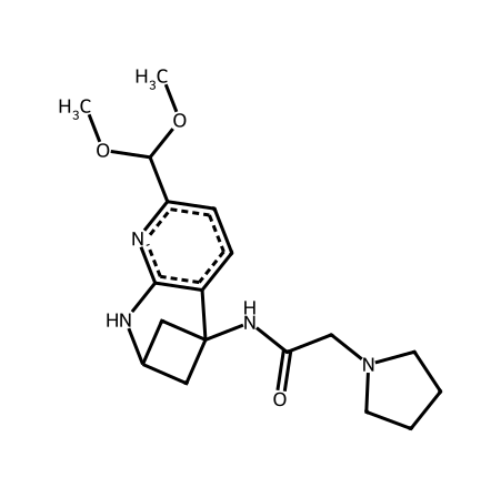 COC(OC)c1ccc2c(n1)NC1CC2(NC(=O)CN2CCCC2)C1